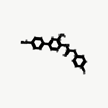 COc1ccc(-c2cnc(NC(=O)Cc3ccc(F)cc3)c(C)n2)cc1